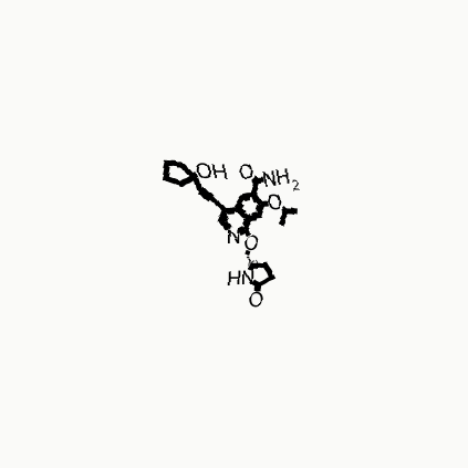 CC(C)Oc1cc2c(OC[C@@H]3CCC(=O)N3)ncc(C#CC3(O)CCCC3)c2cc1C(N)=O